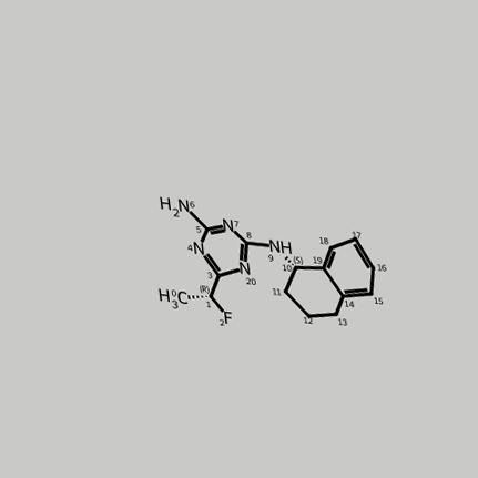 C[C@@H](F)c1nc(N)nc(N[C@H]2CCCc3ccccc32)n1